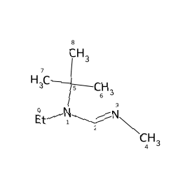 CCN(C=NC)C(C)(C)C